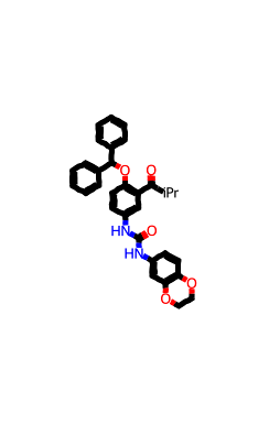 CC(C)C(=O)c1cc(NC(=O)Nc2ccc3c(c2)OCCO3)ccc1OC(c1ccccc1)c1ccccc1